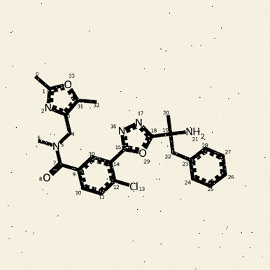 Cc1nc(CN(C)C(=O)c2ccc(Cl)c(-c3nnc(C(C)(N)Cc4ccccc4)o3)c2)c(C)o1